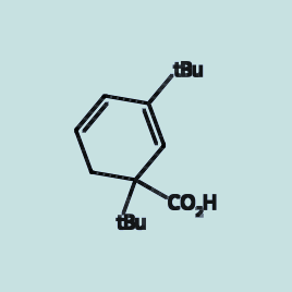 CC(C)(C)C1=CC(C(=O)O)(C(C)(C)C)CC=C1